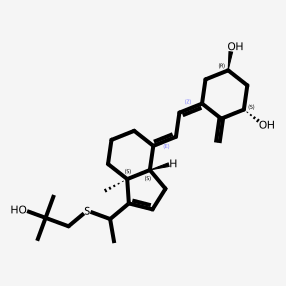 C=C1/C(=C\C=C2/CCC[C@]3(C)C(C(C)SCC(C)(C)O)=CC[C@@H]23)C[C@@H](O)C[C@@H]1O